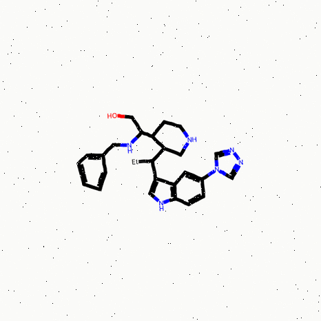 CCC(c1c[nH]c2ccc(-n3cnnc3)cc12)C1CNCCC1C(CO)NCc1ccccc1